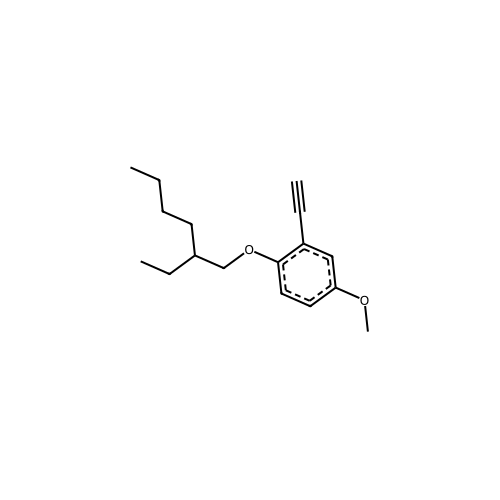 C#Cc1cc(OC)ccc1OCC(CC)CCCC